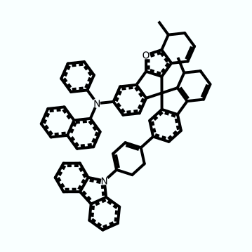 CC1CC=CC2=C1C1(c3cc(C4=CC=C(n5c6ccccc6c6ccccc65)CC4)ccc32)c2ccc(N(c3ccccc3)c3cccc4ccccc34)cc2-c2oc3c(c21)C=CCC3C